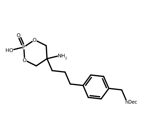 CCCCCCCCCCCc1ccc(CCCC2(N)COP(=O)(O)OC2)cc1